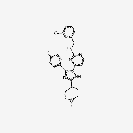 CN1CCC(c2nc(-c3ccc(F)cc3)c(-c3ccnc(NCc4cccc(Cl)c4)n3)[nH]2)CC1